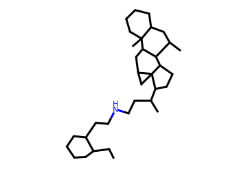 CCC1CCCCC1CCNCCC(C)C1CCC2C3C(C)CC4CCCCC4(C)C3CC3CC312